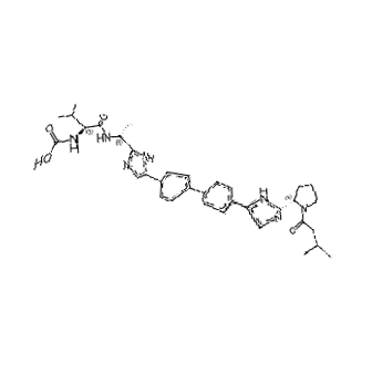 CC(C)CC(=O)N1CCC[C@H]1c1ncc(-c2ccc(-c3ccc(-c4cnc([C@@H](C)NC(=O)[C@@H](NC(=O)O)C(C)C)[nH]4)cc3)cc2)[nH]1